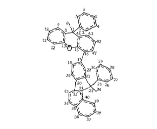 CC1(c2ccccc2)c2ccccc2Oc2c(-c3ccc4c(c3)C(C)(c3ccccc3)c3c-4ccc4ccccc34)cccc21